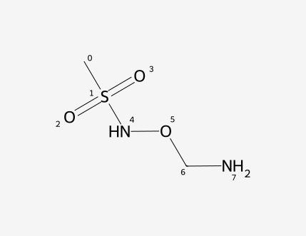 CS(=O)(=O)NOCN